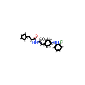 O=C(CCC1CCCC1)N/C(=C/c1ccc(Nc2ccccc2Cl)cc1)C(=O)O